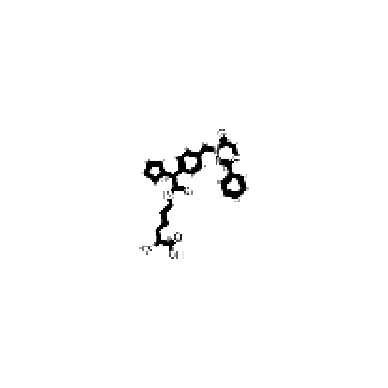 CC(CCCCNC(=O)C(c1ccc(CN2N=C(c3ccccc3)OCC2=O)cc1)C1CCCC1)C(=O)O